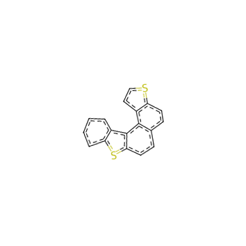 c1ccc2c(c1)sc1ccc3ccc4sccc4c3c12